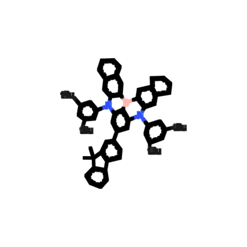 CC(C)(C)c1cc(N2c3cc4ccccc4cc3B3c4cc5ccccc5cc4N(c4cc(C(C)(C)C)cc(C(C)(C)C)c4)c4cc(-c5ccc6c(c5)C(C)(C)c5ccccc5-6)cc2c43)cc(C(C)(C)C)c1